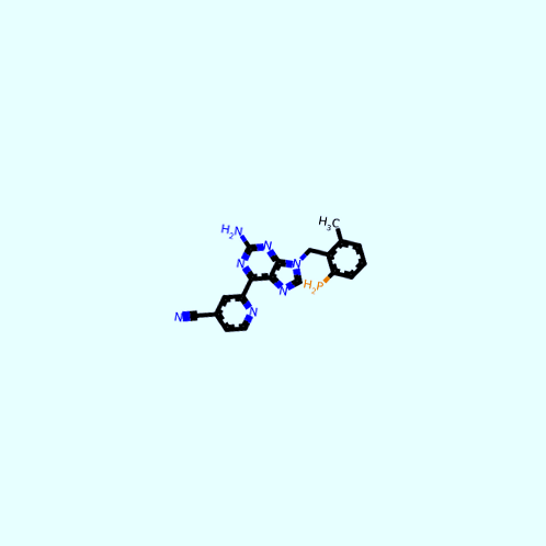 Cc1cccc(P)c1Cn1cnc2c(-c3cc(C#N)ccn3)nc(N)nc21